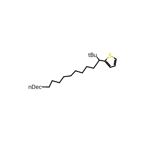 CCCCCCCCCCCCCCCCCCCC(c1cccs1)C(C)(C)C